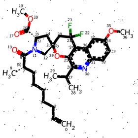 C=CCCCCC[C@H](C)C(=O)N1C[C@@]2(C[C@H]1C(=O)OC)CC(F)(F)c1c(c(C(C)C)nc3ccc(OC)cc13)O2